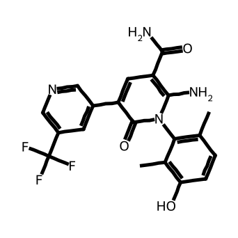 Cc1ccc(O)c(C)c1-n1c(N)c(C(N)=O)cc(-c2cncc(C(F)(F)F)c2)c1=O